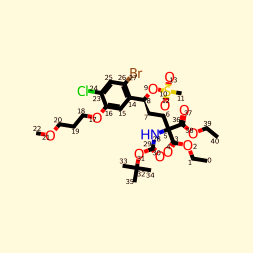 CCOC(=O)C(CC[C@H](OS(C)(=O)=O)c1cc(OCCCOC)c(Cl)cc1Br)(NC(=O)OC(C)(C)C)C(=O)OCC